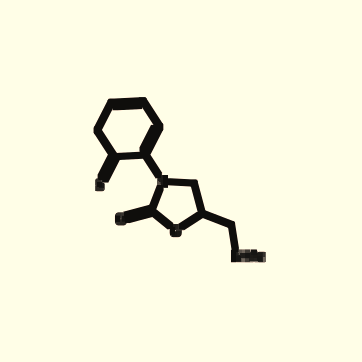 CC(=O)NCC1CN(C2=CC=CCC2=S)C(=O)O1